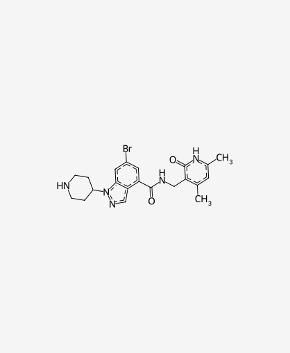 Cc1cc(C)c(CNC(=O)c2cc(Br)cc3c2cnn3C2CCNCC2)c(=O)[nH]1